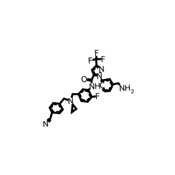 N#Cc1ccc(CN(Cc2ccc(F)c(NC(=O)c3cc(C(F)(F)F)nn3-c3cccc(CN)c3)c2)C2CC2)cc1